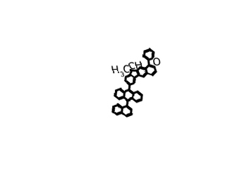 CC1(C)c2ccc(-c3c4ccccc4c(-c4cccc5ccccc45)c4ccccc34)cc2-c2cc3ccc4oc5ccccc5c4c3cc21